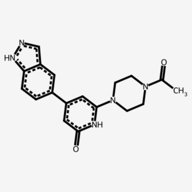 CC(=O)N1CCN(c2cc(-c3ccc4[nH]ncc4c3)cc(=O)[nH]2)CC1